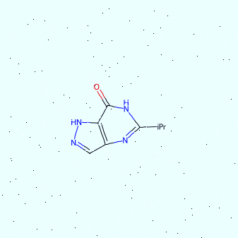 CC(C)c1nc2cn[nH]c2c(=O)[nH]1